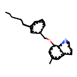 CCCCCc1cccc(COc2cc(C)cc3cccnc23)c1